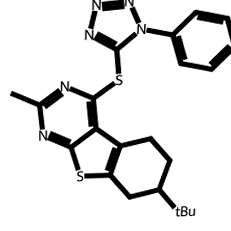 Cc1nc(Sc2nnnn2-c2ccccc2)c2c3c(sc2n1)CC(C(C)(C)C)CC3